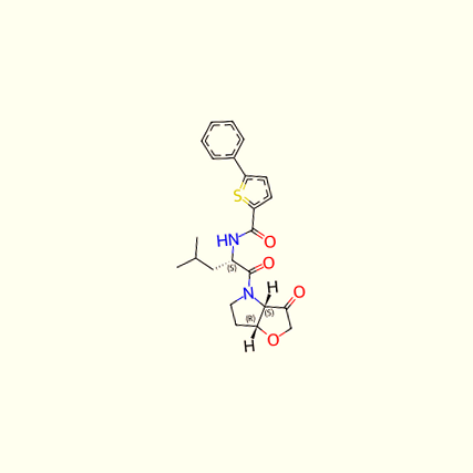 CC(C)C[C@H](NC(=O)c1ccc(-c2ccccc2)s1)C(=O)N1CC[C@H]2OCC(=O)[C@H]21